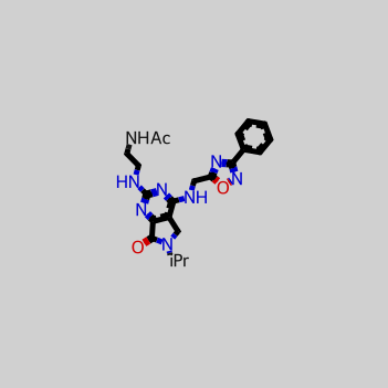 CC(=O)NCCNc1nc(NCc2nc(-c3ccccc3)no2)c2c(n1)C(=O)N(C(C)C)C2